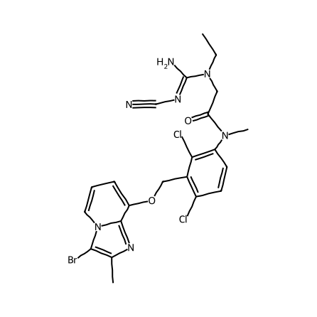 CCN(CC(=O)N(C)c1ccc(Cl)c(COc2cccn3c(Br)c(C)nc23)c1Cl)C(N)=NC#N